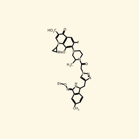 CCON=C1NC(Cc2cn(CC(=O)N3CCN(c4c(F)cc5c(=O)c(C(=O)O)cn(C6CC6)c5c4OC)CC3C)nn2)c2ccc(C)cc21